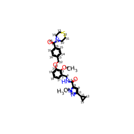 COc1c(CNC(=O)c2cc(C3CC3)nn2C)cccc1OCc1ccc(C(=O)N2CCSCC2)cc1